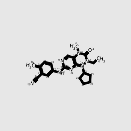 CCN1C(=O)N(C)c2cnc(Nc3ccc(C)c(C#N)c3)nc2N1C1CCCC1